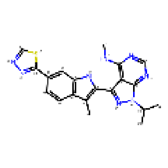 CNc1ncnc2c1c(-c1[nH]c3cc(-c4nncs4)ccc3c1C)nn2C(C)C